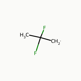 [CH2]C(C)(F)F